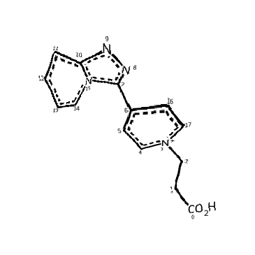 O=C(O)CC[n+]1ccc(-c2nnc3ccccn23)cc1